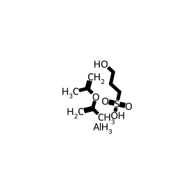 C=C(C)OC(=C)C.O=S(=O)(O)CCCO.[AlH3]